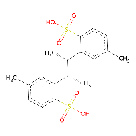 Cc1ccc(S(=O)(=O)O)c([C@@H](C)[C@H](C)c2cc(C)ccc2S(=O)(=O)O)c1